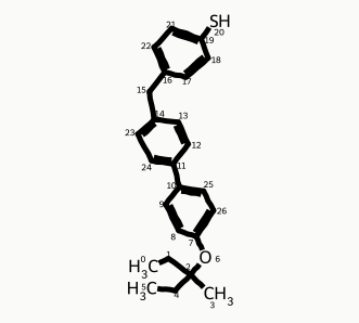 CCC(C)(CC)Oc1ccc(-c2ccc(Cc3ccc(S)cc3)cc2)cc1